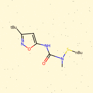 CCCCSN(C)C(=O)Nc1cc(C(C)(C)C)no1